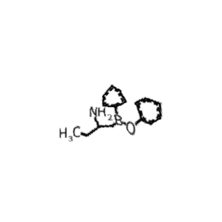 CCC(N)CB(Oc1ccccc1)c1ccccc1